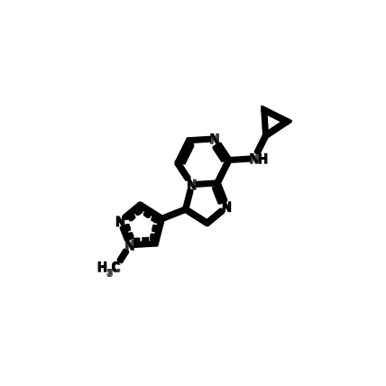 Cn1cc(C2CN=C3C(NC4CC4)=NC=CN32)cn1